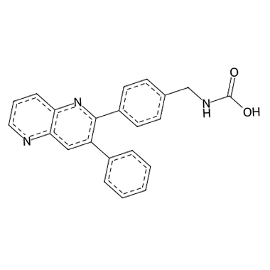 O=C(O)NCc1ccc(-c2nc3cccnc3cc2-c2ccccc2)cc1